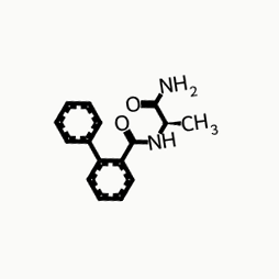 C[C@@H](NC(=O)c1ccccc1-c1ccccc1)C(N)=O